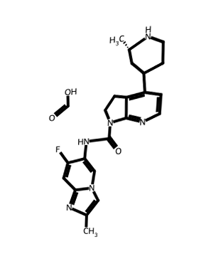 Cc1cn2cc(NC(=O)N3CCc4c(C5CCN[C@@H](C)C5)ccnc43)c(F)cc2n1.O=CO